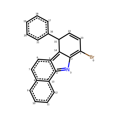 BrC1=C2N=c3c(ccc4ccccc34)=C2C(c2ccccc2)C=C1